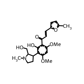 COc1cc(OC)c(C2CCN(C)C2CO)c(O)c1C(=O)C=Cc1ccc(C)o1